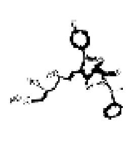 CC(C)c1c(C(=O)N[C@H](C)c2ccccc2)nn(-c2ccc(F)cc2)c1C=C[C@H](O)C[C@@H](O)CC(=O)O